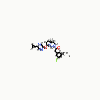 O=C(Cc1cc(F)cc(C(F)(F)F)c1)N1CC[C@@H]2CC[C@H](Oc3cnc(C4CC4)cn3)N2C1